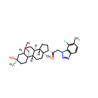 Cc1ccc2nnn(CC(=O)[C@H]3CC[C@H]4[C@@H]5CC[C@@H]6C[C@](C)(O)CC[C@]6(COC(C)C)[C@H]5CC[C@]34C)c2c1F